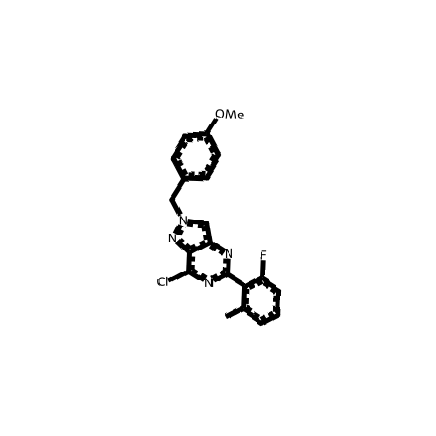 COc1ccc(Cn2cc3nc(-c4c(C)cccc4F)nc(Cl)c3n2)cc1